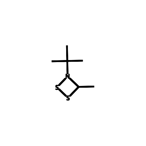 CC1SSN1C(C)(C)C